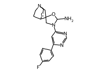 NC1OC2(CN3CCC2CC3)CN1c1cc(-c2ccc(F)cc2)ncn1